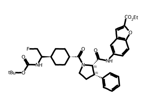 CCOC(=O)c1cc2cc(NC(=O)[C@@H]3[C@H](c4ccccc4)CCN3C(=O)[C@H]3CC[C@H](C(CF)NC(=O)OC(C)(C)C)CC3)ccc2o1